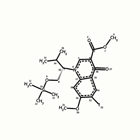 COC(=O)c1cn([C@H](CO[Si](C)(C)C)C(C)C)c2cc(OC)c(I)cc2c1=O